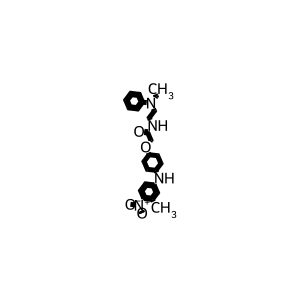 CCN(CCNC(=O)COC1CCC(Nc2ccc([N+](=O)[O-])c(C)c2)CC1)c1ccccc1